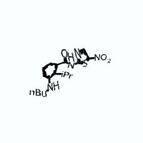 CCCCNc1cccc(C(=O)Nc2ncc([N+](=O)[O-])s2)c1C(C)C